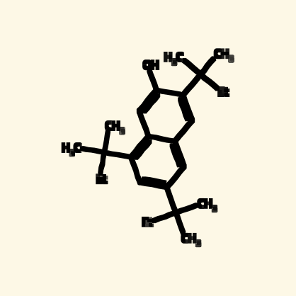 CCC(C)(C)c1cc(C(C)(C)CC)c2cc(O)c(C(C)(C)CC)cc2c1